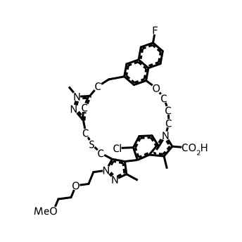 COCCOCCn1nc(C)c2c1CSCc1cc(n(C)n1)CCc1cc(c3ccc(F)cc3c1)OCCCn1c(C(=O)O)c(C)c3c-2c(Cl)ccc31